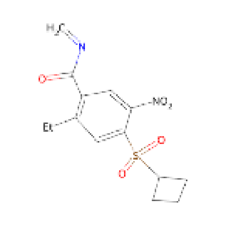 C=NC(=O)c1cc([N+](=O)[O-])c(S(=O)(=O)C2CCC2)cc1CC